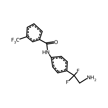 NCC(F)(F)c1ccc(NC(=O)c2cccc(C(F)(F)F)c2)cc1